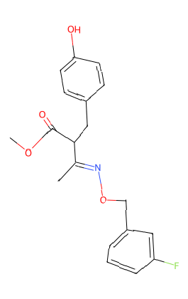 COC(=O)C(Cc1ccc(O)cc1)C(C)=NOCc1cccc(F)c1